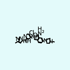 Cc1cc(Nc2cc(NCc3ccc(N4CCN(C)CC4)cc3C(N)=O)c(Cl)cn2)nn1C